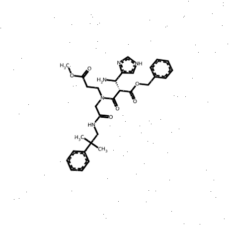 COC(=O)CCN(CC(=O)NCC(C)(C)c1ccccc1)C(=O)[C@@H](C(=O)OCc1ccccc1)C(N)c1c[nH]cn1